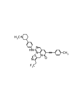 Cc1ccc(C#Cc2cc3cnc(Nc4ccc(C5CCCN(C)C5)cc4)nc3n(Cc3scnc3CC(F)(F)F)c2=O)cc1